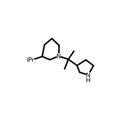 CC(C)C1CCCN(C(C)(C)C2CCNC2)C1